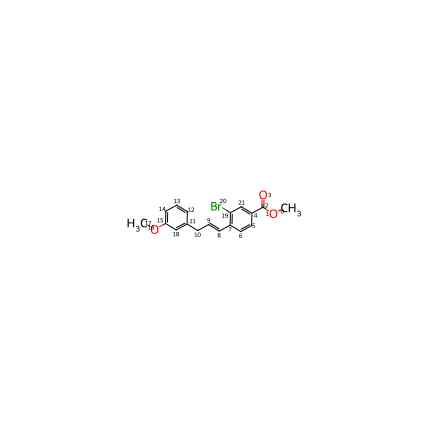 COC(=O)c1ccc(C=CCc2cccc(OC)c2)c(Br)c1